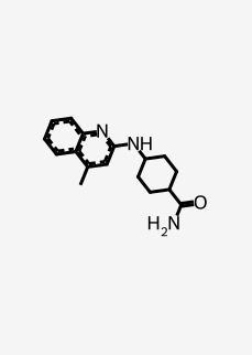 Cc1cc(NC2CCC(C(N)=O)CC2)nc2ccccc12